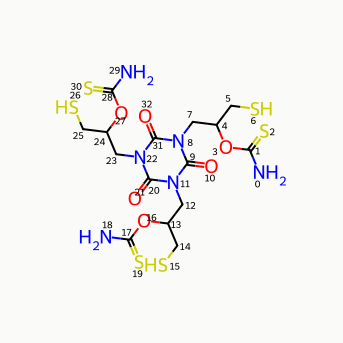 NC(=S)OC(CS)Cn1c(=O)n(CC(CS)OC(N)=S)c(=O)n(CC(CS)OC(N)=S)c1=O